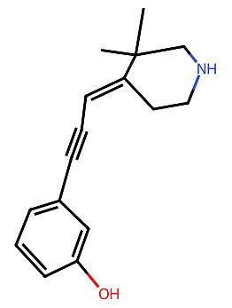 CC1(C)CNCC/C1=C\C#Cc1cccc(O)c1